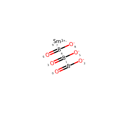 O=B[O-].O=B[O-].O=B[O-].[Sm+3]